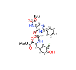 COC(=O)C(=O)C(Cc1ccc(O)c(F)c1)NC(=O)Cn1c(-c2ccccc2)ncc(NC(=O)OC(C)(C)C)c1=O